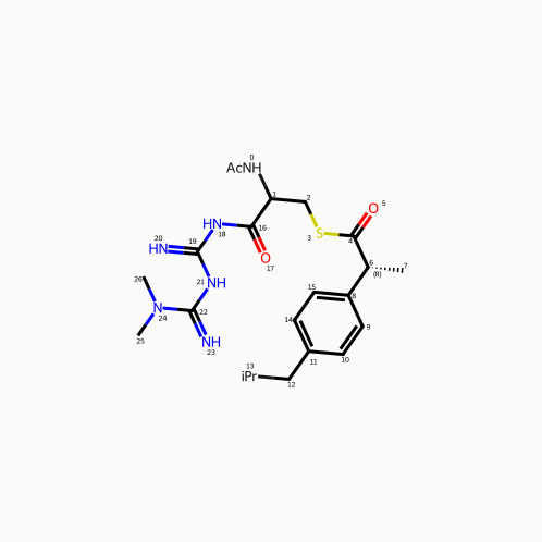 CC(=O)NC(CSC(=O)[C@H](C)c1ccc(CC(C)C)cc1)C(=O)NC(=N)NC(=N)N(C)C